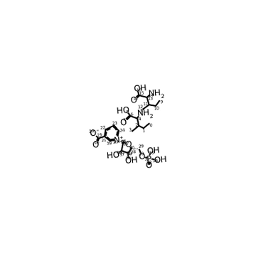 CCC(C)C(N)C(=O)O.CCC(C)C(N)C(=O)O.O=C([O-])c1ccc[n+]([C@@H]2O[C@H](COP(=O)(O)O)[C@@H](O)[C@H]2O)c1